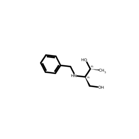 C[C@@H](O)[C@@H](CO)NCc1ccccc1